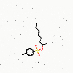 CCCCCCC(C)OS(=O)(=O)c1ccc(C)cc1